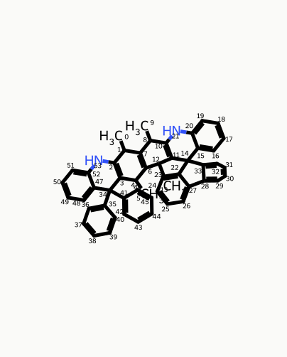 CC1C2=C(C(C)C3=C1C(C)C1=C(C3C)C3(c4ccccc4N1)c1ccccc1-c1ccccc13)C(c1ccccc1)(c1ccccc1)c1ccccc1N2